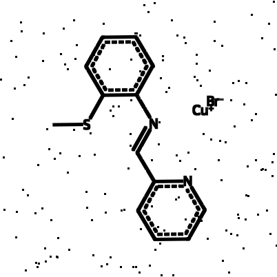 CSc1ccccc1N=Cc1ccccn1.[Br-].[Cu+]